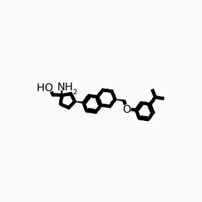 CC(C)c1cccc(OC[C@@H]2CCc3cc([C@H]4CC[C@](N)(CO)C4)ccc3C2)c1